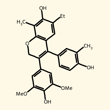 CCc1cc2c(c(C)c1O)OCC(c1cc(OC)c(O)c(OC)c1)=C2c1ccc(O)c(C)c1